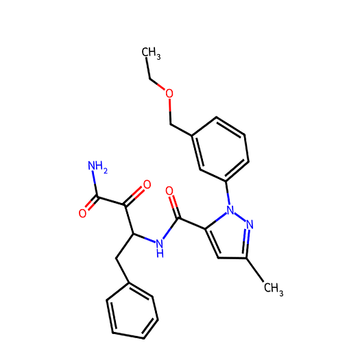 CCOCc1cccc(-n2nc(C)cc2C(=O)NC(Cc2ccccc2)C(=O)C(N)=O)c1